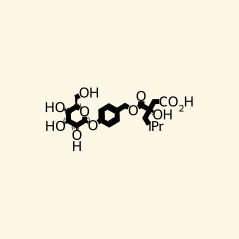 CC(C)C[C@@](O)(CC(=O)O)C(=O)OCc1ccc(O[C@@H]2O[C@H](CO)[C@@H](O)[C@H](O)[C@H]2O)cc1